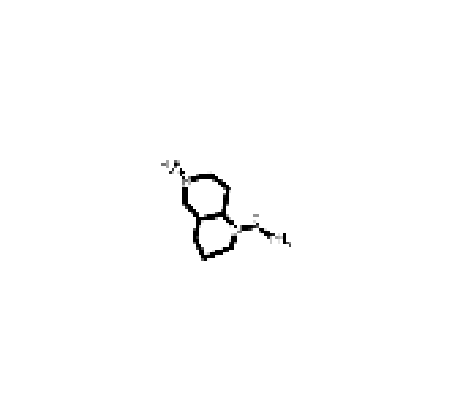 PPN1CCCC2CN(P)CCC21